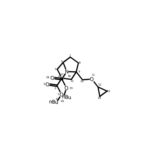 CCCCOC(=O)N1CC2CCC(COC3CC3)(C1)N2C(=O)OCCCC